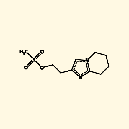 CS(=O)(=O)OCCc1cn2c(n1)CCCC2